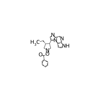 CC[C@@H]1CN(OC(=O)c2ccccc2)CC1c1cnc2cnc3[nH]ccc3n12